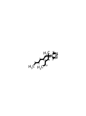 CCCCCCC(C)(CCCC)n1cnnc1